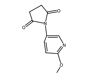 COc1ccc(N2C(=O)CCC2=O)cn1